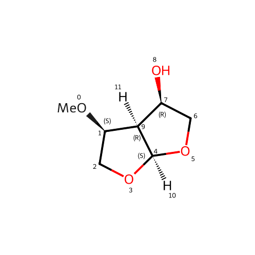 CO[C@@H]1CO[C@@H]2OC[C@H](O)[C@@H]21